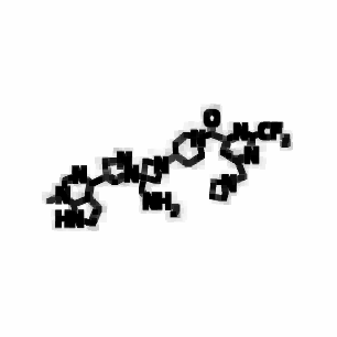 CN1C=NC(c2cnn(C3(CN)CN(C4CCN(C(=O)c5cc(CN6CCC6)nc(C(F)(F)F)n5)CC4)C3)c2)=C2C=CNC21